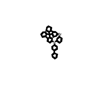 Brc1cccc(N(c2ccc(-c3ccccc3)cc2)c2ccc3c(c2)C2(c4ccccc4-c4ccccc42)c2ccccc2-3)c1